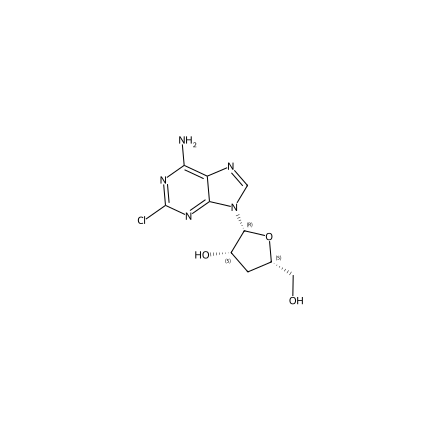 Nc1nc(Cl)nc2c1ncn2[C@@H]1O[C@H](CO)C[C@@H]1O